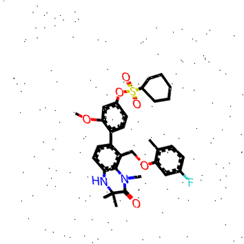 COc1cc(OS(=O)(=O)C2CCCCC2)ccc1-c1ccc2c(c1COc1cc(F)ccc1C)N(C)C(=O)C(C)(C)N2